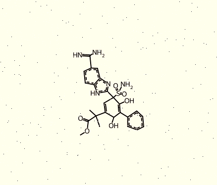 COC(=O)C(C)(C)C1=CC(c2nc3cc(C(=N)N)ccc3[nH]2)(S(N)(=O)=O)C(O)=C(c2ccccc2)C1O